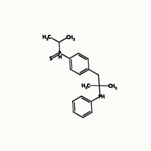 CC(C)[PH](=S)c1ccc(CC(C)(C)Pc2ccccc2)cc1